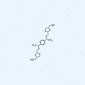 CC(SCC1SCC(CS)S1)c1ccc(C(C)SCC2SCC(CS)S2)cc1